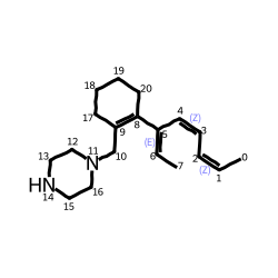 C\C=C/C=C\C(=C/C)C1=C(CN2CCNCC2)CCCC1